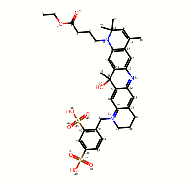 CCOC(=O)CCCN1c2cc3c(cc2C(C)=CC1(C)C)N=c1cc2c(cc1C3(C)O)=[N+](Cc1ccc(S(=O)(=O)O)cc1S(=O)(=O)O)CCC2